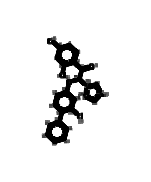 O=C(c1ccc(Cl)cc1Cl)C(Oc1ccc(-c2ccccc2)c(Cl)c1)n1cncn1